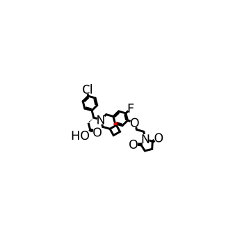 O=C(O)C[C@H](c1ccc(Cl)cc1)N(Cc1ccc(OCCN2C(=O)CCC2=O)c(F)c1)CC1CCC1